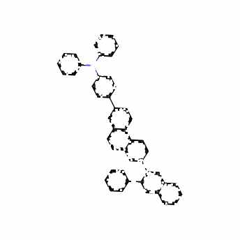 c1ccc(-c2cc3ccccc3cc2-c2ccc3c(ccc4cc(-c5ccc(N(c6ccccc6)c6ccccc6)cc5)ccc43)c2)cc1